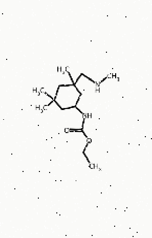 CCOC(=O)NC1CC(C)(C)CC(C)(CNC)C1